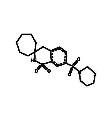 O=S1(=O)NC2(CCCCCC2)Cc2ccc(S(=O)(=O)N3CCCCC3)cc21